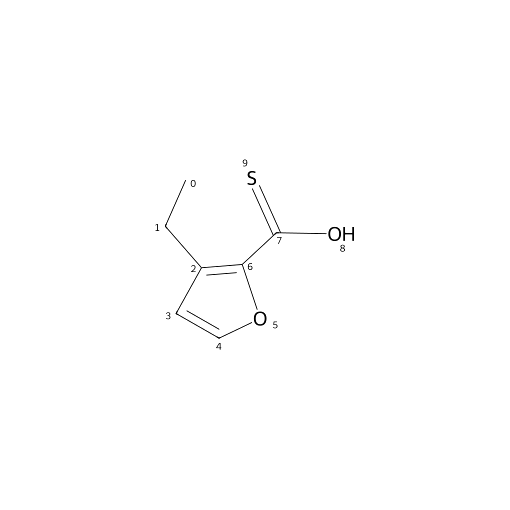 CCc1ccoc1C(O)=S